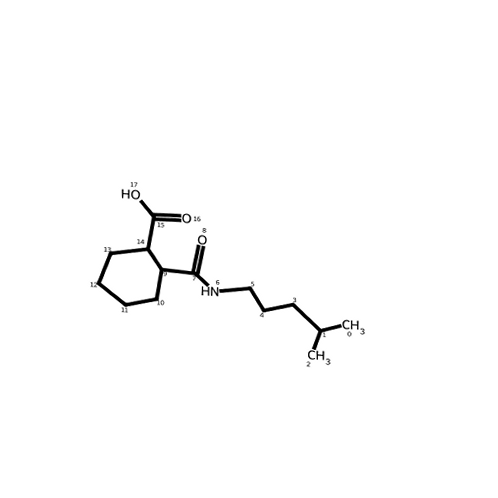 CC(C)CCCNC(=O)C1CCCCC1C(=O)O